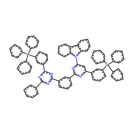 c1ccc(-c2nc(-c3cccc(-c4nc(-c5cccc([Si](c6ccccc6)(c6ccccc6)c6ccccc6)c5)cc(-n5c6ccccc6c6ccccc65)n4)c3)nc(-c3cccc([Si](c4ccccc4)(c4ccccc4)c4ccccc4)c3)n2)cc1